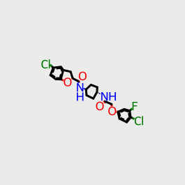 O=C(COc1ccc(Cl)c(F)c1)N[C@H]1CC[C@H](NC(=O)C2Cc3cc(Cl)ccc3O2)CC1